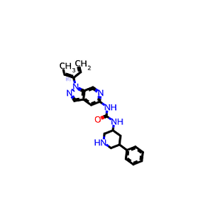 C=C/C(=C\C)n1ncc2cc(NC(=O)NC3CNCC(c4ccccc4)C3)ncc21